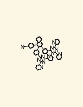 N#Cc1ccc(-c2c(-c3cccc(-c4nc(-c5ccccn5)nc(-c5ccccn5)n4)c3)c(-c3cccc(-c4nc(-c5ccccn5)nc(-c5ccccn5)n4)c3)cc3ccccc23)cc1